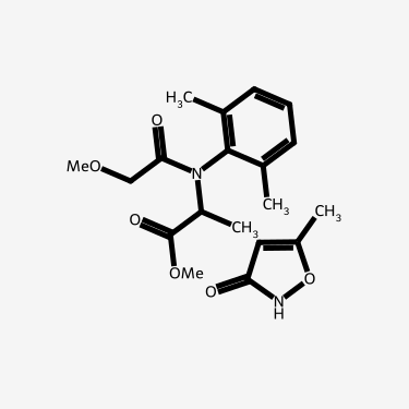 COCC(=O)N(c1c(C)cccc1C)C(C)C(=O)OC.Cc1cc(=O)[nH]o1